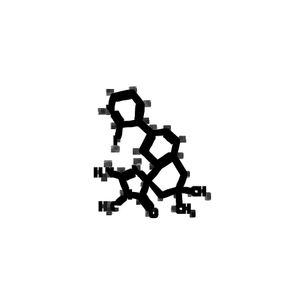 CN1C(=O)[C@]2(CC(C)(C)Cc3ccc(-c4cccnc4F)cc32)N=C1N